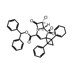 O=C(OC(c1ccccc1)c1ccccc1)C1=CC2(C3(C4=CCCC=C4)CC32c2ccccc2)S(=O)(=O)[C@H]2[C@@H](Cl)C(=O)N12